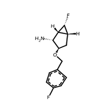 N[C@@H]1[C@@H]2[C@H](F)[C@@H]2C[C@H]1OCc1ccc(F)cc1